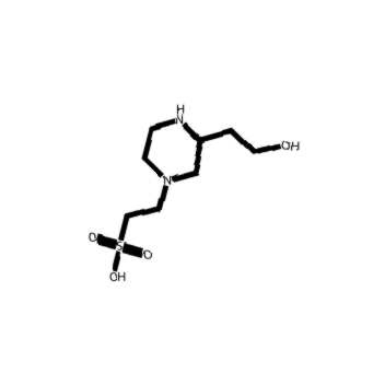 O=S(=O)(O)CCN1CCNC(CCO)C1